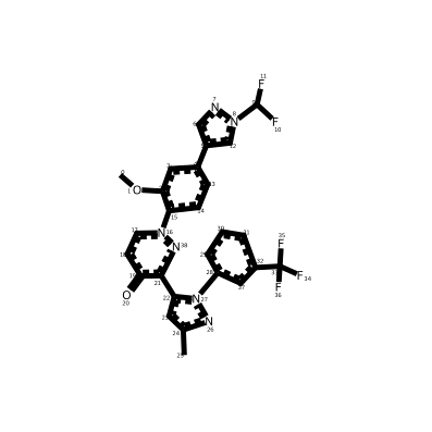 COc1cc(-c2cnn(C(F)F)c2)ccc1-n1ccc(=O)c(-c2cc(C)nn2-c2cccc(C(F)(F)F)c2)n1